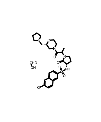 CC(C(=O)N1CCO[C@@H](CN2CCCC2)C1)N1CC[C@H](NS(=O)(=O)c2ccc3cc(Cl)ccc3c2)C1=O.O=CO